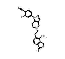 Cc1c(CCN2CCc3c(cnn3-c3ccc(C#N)c(F)c3)C2)ccc2c1COC2=O